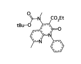 CCOC(=O)c1c(N(C)C(=O)OC(C)(C)C)c2ccc(C)nc2n(-c2ccccc2)c1=O